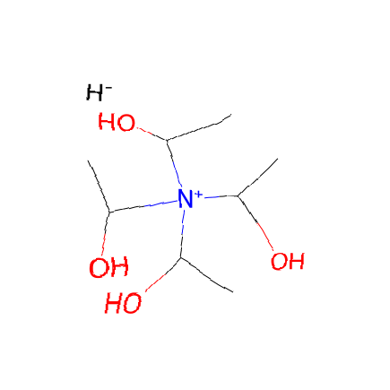 CC(O)[N+](C(C)O)(C(C)O)C(C)O.[H-]